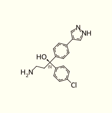 NCC[C@@](O)(c1ccc(Cl)cc1)c1ccc(-c2cn[nH]c2)cc1